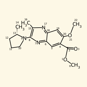 COC(=O)c1cc2nc(N3CCC[C@@H]3C)c(C)nc2cc1OC